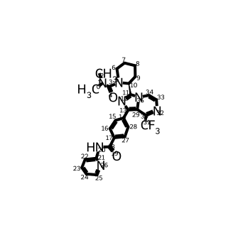 CN(C)C(=O)N1CCCC[C@H]1c1nc(-c2ccc(C(=O)Nc3ccccn3)cc2)c2c(C(F)(F)F)nccn12